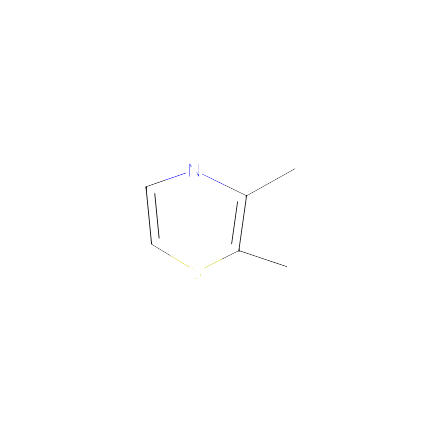 CC1=C(C)SC=C[N]1